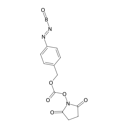 O=B/N=N/c1ccc(COC(=O)ON2C(=O)CCC2=O)cc1